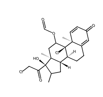 CC1C[C@H]2[C@@H]3CCC4=CC(=O)C=C[C@]4(C)[C@@]3(Cl)C(OC=O)C[C@]2(C)[C@@]1(O)C(=O)CCl